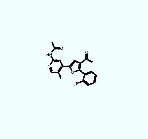 CC(=O)Nc1cc(-c2cc(C(C)=O)c(-c3ccccc3Cl)o2)c(C)cn1